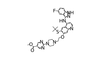 COC(=O)c1cnc(N2CCN(CCOc3cc4nccc(Nc5n[nH]c6ccc(F)cc56)c4cc3SC(C)(C)C)CC2)nc1